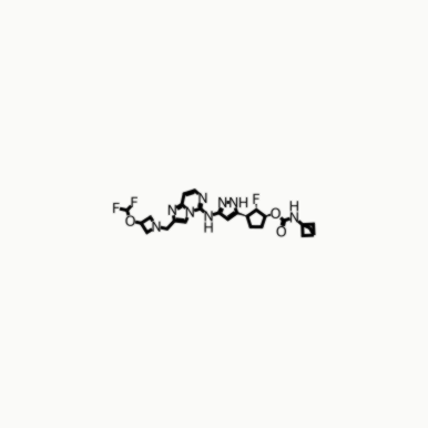 O=C(NC12CC(C1)C2)O[C@H]1CC[C@@H](c2cc(Nc3nccc4nc(CN5CC(OC(F)F)C5)cn34)n[nH]2)[C@@H]1F